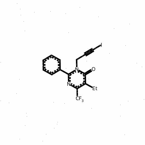 CCc1c(C(F)(F)F)nc(-c2ccccc2)n(CC#CI)c1=O